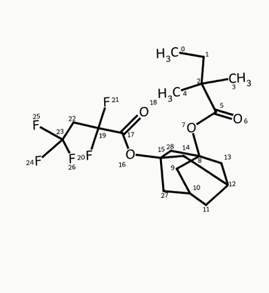 CCC(C)(C)C(=O)OC12CC3CC(C1)CC(OC(=O)C(F)(F)CC(F)(F)F)(C3)C2